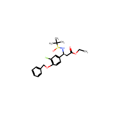 CCOC(=O)C[C@H](N[S+]([O-])C(C)(C)C)c1ccc(OCc2ccccc2)c(F)c1